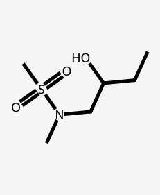 CCC(O)CN(C)S(C)(=O)=O